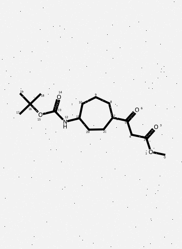 COC(=O)CC(=O)C1CCCC(NC(=O)OC(C)(C)C)CC1